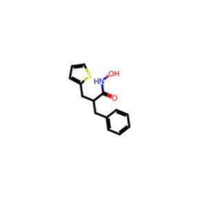 O=C(NO)C(Cc1ccccc1)Cc1cccs1